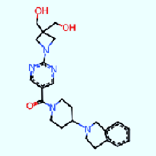 O=C(c1cnc(N2CC(CO)(CO)C2)nc1)N1CCC(N2CCc3ccccc3C2)CC1